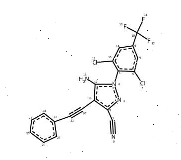 N#Cc1nn(-c2c(Cl)cc(C(F)(F)F)cc2Cl)c(N)c1C#Cc1ccccc1